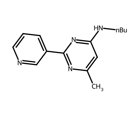 CCCCNc1cc(C)nc(-c2cccnc2)n1